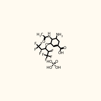 CC(=O)NC1C(N)CC(C(=O)O)=CC1OC(C(F)C(F)(F)F)[C@@H](F)C(F)(F)F.O=P(O)(O)O